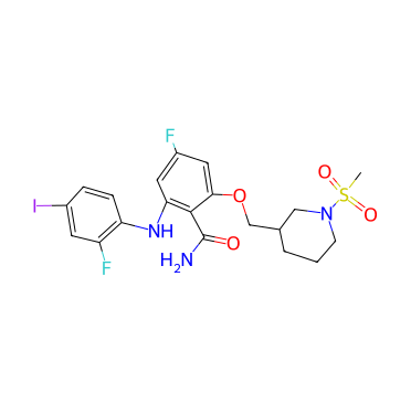 CS(=O)(=O)N1CCCC(COc2cc(F)cc(Nc3ccc(I)cc3F)c2C(N)=O)C1